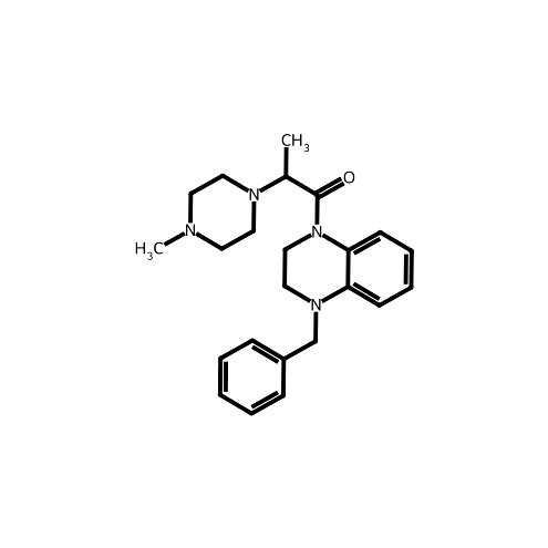 CC(C(=O)N1CCN(Cc2ccccc2)c2ccccc21)N1CCN(C)CC1